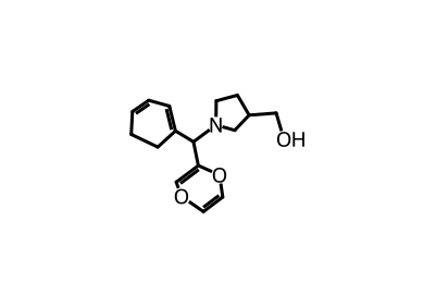 OCC1CCN(C(C2=CC=CCC2)C2=COC=CO2)C1